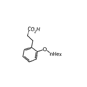 CCCCCCOc1ccccc1CCC(=O)O